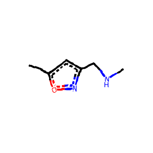 CNCc1cc(C)on1